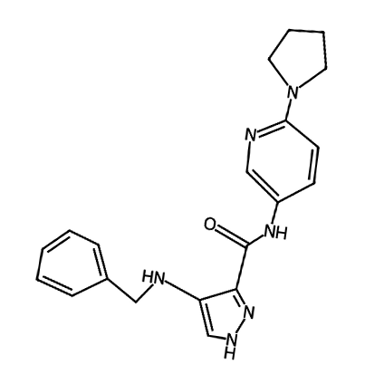 O=C(Nc1ccc(N2CCCC2)nc1)c1n[nH]cc1NCc1ccccc1